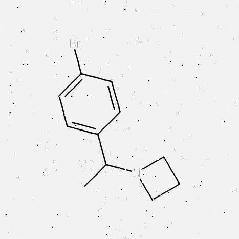 CC(c1ccc(Br)cc1)N1CCC1